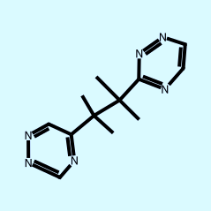 CC(C)(c1cnncn1)C(C)(C)c1nccnn1